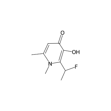 Cc1cc(=O)c(O)c(C(C)F)n1C